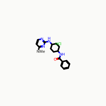 CNc1ccnc(NC2CCC(NC(=O)c3ccccc3)CC2)n1.Cl